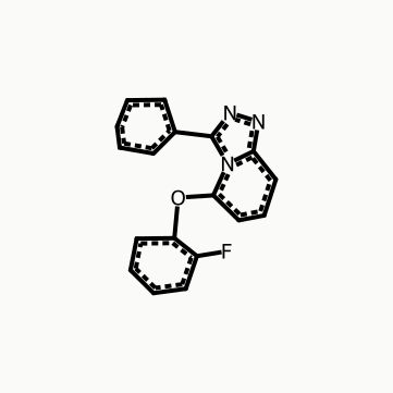 Fc1ccccc1Oc1cccc2nnc(-c3ccccc3)n12